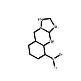 CCN(CC)C1CCCC2CN3NCNC3NC21